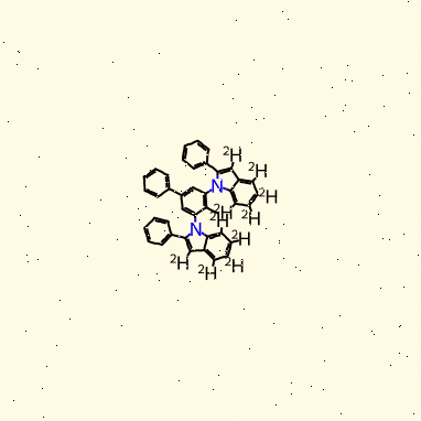 [2H]c1c([2H])c([2H])c2c(c1[2H])c([2H])c(-c1ccccc1)n2-c1cc(-c2ccccc2)cc(-n2c(-c3ccccc3)c([2H])c3c([2H])c([2H])c([2H])c([2H])c32)c1C